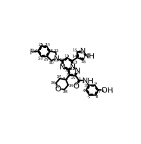 O=C(Nc1cccc(O)c1)c1nn2c(-c3cn[nH]c3)cc(N3Cc4ccc(F)cc4C3)nc2c1C1CCOCC1